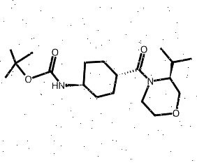 CC(C)[C@H]1COCCN1C(=O)[C@H]1CC[C@H](NC(=O)OC(C)(C)C)CC1